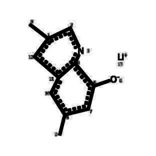 Cc1cnc2c([O-])cc(C)cc2c1.[Li+]